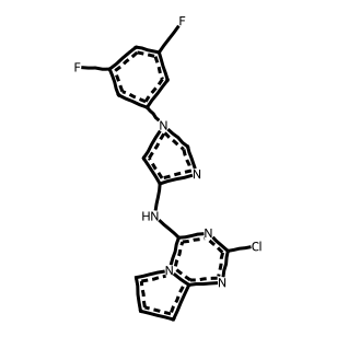 Fc1cc(F)cc(-n2cnc(Nc3nc(Cl)nc4cccn34)c2)c1